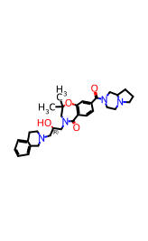 CC1(C)CN(C[C@H](O)CN2CCc3ccccc3C2)C(=O)c2ccc(C(=O)N3CCN4CCCC4C3)cc2O1